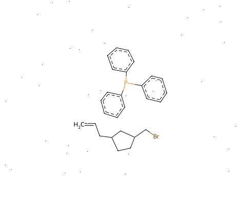 C=CCC1CCC(CBr)C1.c1ccc(P(c2ccccc2)c2ccccc2)cc1